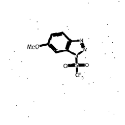 COc1ccc2nnn(S(=O)(=O)C(F)(F)F)c2c1